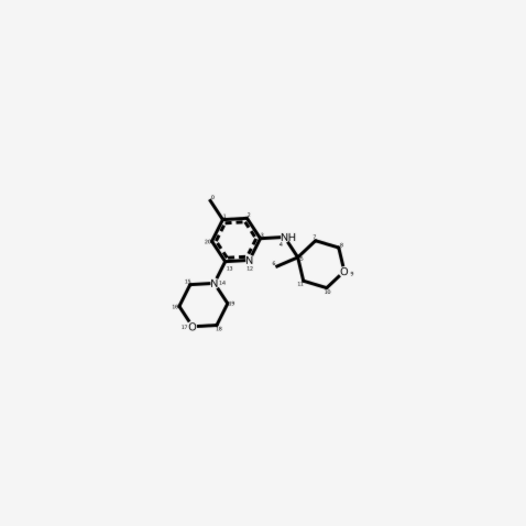 Cc1cc(NC2(C)CCOCC2)nc(N2CCOCC2)c1